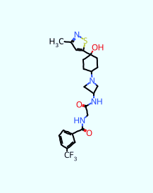 Cc1cc(C2(O)CCC(N3CC(NC(=O)CNC(=O)c4cccc(C(F)(F)F)c4)C3)CC2)sn1